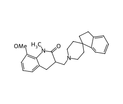 COc1cccc2c1N(C)C(=O)C(CN1CCC3(CCc4ccccc43)CC1)C2